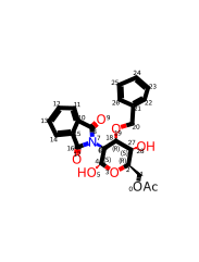 CC(=O)OC[C@H]1O[C@H](O)[C@@H](N2C(=O)c3ccccc3C2=O)[C@@H](OCc2ccccc2)[C@@H]1O